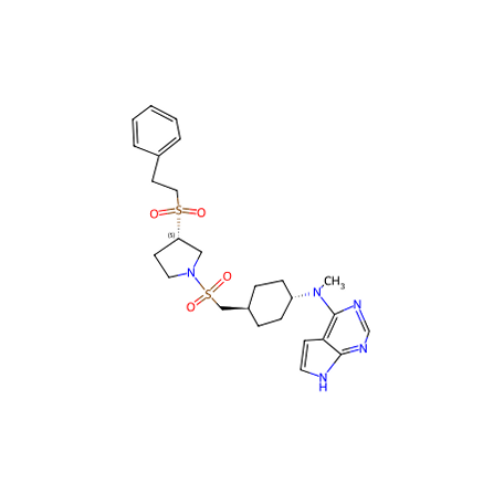 CN(c1ncnc2[nH]ccc12)[C@H]1CC[C@H](CS(=O)(=O)N2CC[C@H](S(=O)(=O)CCc3ccccc3)C2)CC1